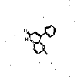 Cc1ccc2[nH]c(=O)cc(-c3ccccc3)c2c1